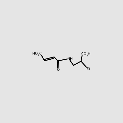 CCC(CNC(=O)C=CC(=O)O)C(=O)O